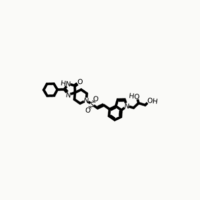 O=C1NC(C2CCCCC2)=NC12CCN(S(=O)(=O)C=Cc1cccc3c1ccn3CC(O)CO)CC2